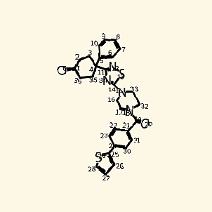 O=C1CCC(c2ccccc2)(c2nsc(N3CCN(C(=O)c4ccc(-c5cccs5)cc4)CC3)n2)CC1